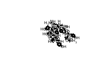 CC(C)[C@H](NC(=O)[C@H](C)N)C(=O)N[C@@H](Cc1ccc(O)cc1)C(=O)N[C@@H](Cc1ccc(O)cc1)C(=O)N[C@@H](CS)C(=O)N[C@@H](C)C(=O)N[C@@H](CCCNC(=N)N)C(=O)N[C@@H](Cc1ccc(O)cc1)C(=O)N[C@@H](Cc1ccc(O)cc1)C(=O)N[C@@H](CC(=O)O)C(=O)N[C@@H](CC(=O)O)C(=O)N[C@@H](Cc1c[nH]cn1)C(=O)N[C@@H](Cc1ccc(O)cc1)C(=O)O